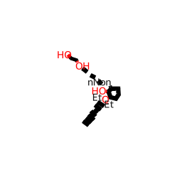 C=C.C=C.C=C.C=C.C=C.C=C.C=C.C=C.C=C.C=C.CCCCCCCCCc1ccccc1O.CCOCC.OCCO